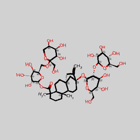 C=C1C[C@@]23CCC4C(C)(C(=O)O[C@@H]5O[C@H](CO[C@]6(CO)OC[C@@H](O)[C@@H](O)[C@@H]6O)[C@H](O)[C@@H](O)[C@H]5O)CCC[C@@]4(C)C2CC[C@]1(O[C@@H]1O[C@H](CO)[C@@H](O)[C@H](O)[C@H]1O[C@@H]1O[C@H](CO)[C@@H](O)[C@H](O)[C@H]1O)C3